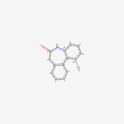 O=c1cc2ccccc2c2c(Cl)cccc2n1